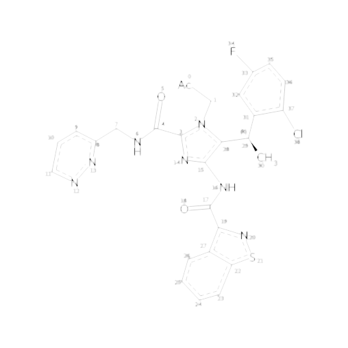 CC(=O)Cn1c(C(=O)NCc2cccnn2)nc(NC(=O)c2nsc3ccccc23)c1[C@H](C)c1cc(F)ccc1Cl